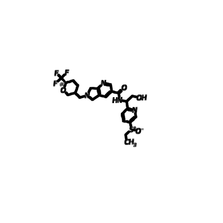 CC[S+]([O-])c1ccc(C(CO)NC(=O)c2cnc3c(c2)CN(CC2CC[C@H](C(F)(F)F)OC2)C3)nc1